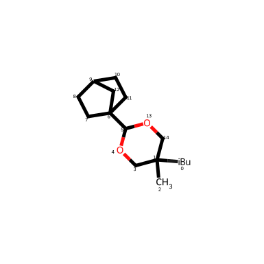 CCC(C)C1(C)COC(C23CCC(CC2)C3)OC1